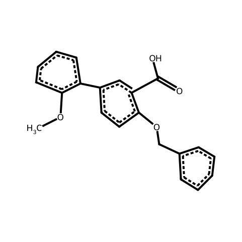 COc1ccccc1-c1ccc(OCc2ccccc2)c(C(=O)O)c1